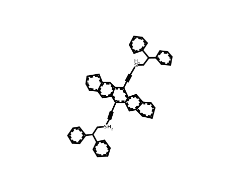 C(#Cc1c2cc3ccccc3cc2c(C#C[SiH2]CC(c2ccccc2)c2ccccc2)c2cc3ccccc3cc12)[SiH2]CC(c1ccccc1)c1ccccc1